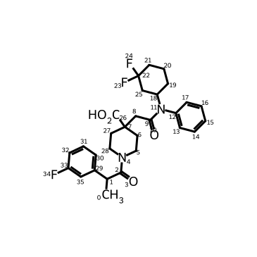 CC(C(=O)N1CCC(CC(=O)N(c2ccccc2)C2CCCC(F)(F)C2)(C(=O)O)CC1)c1cccc(F)c1